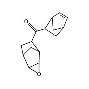 O=C(C1CC2C=CC1C2)C1CC2CC1C1OC21